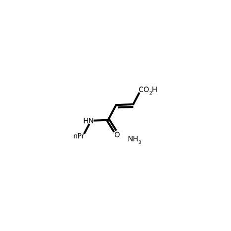 CCCNC(=O)C=CC(=O)O.N